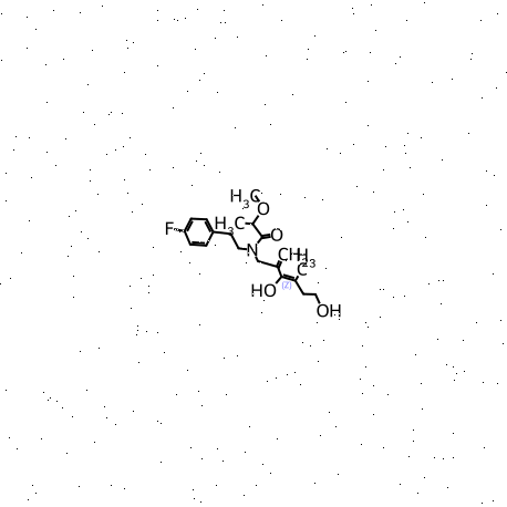 C=C(CN(CCc1ccc(F)cc1)C(=O)C(C)OC)/C(O)=C(\C)CCO